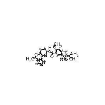 COc1cc2c(cc1C(=O)Nc1cccc(-c3nncn3C(C)C)n1)S(=O)(=O)N(C(C)C)C2